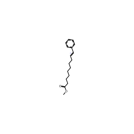 COC(=O)CCCCCCC/C=C/c1ccccc1